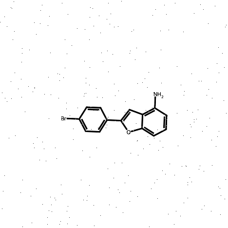 Nc1cccc2oc(-c3ccc(Br)cc3)cc12